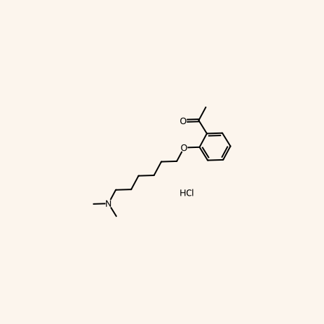 CC(=O)c1ccccc1OCCCCCCN(C)C.Cl